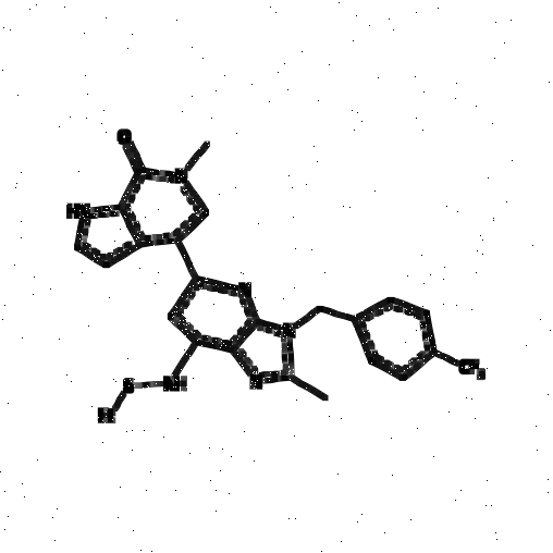 CCSNc1cc(-c2cn(C)c(=O)c3[nH]ccc23)nc2c1nc(C)n2Cc1ccc(C(F)(F)F)cc1